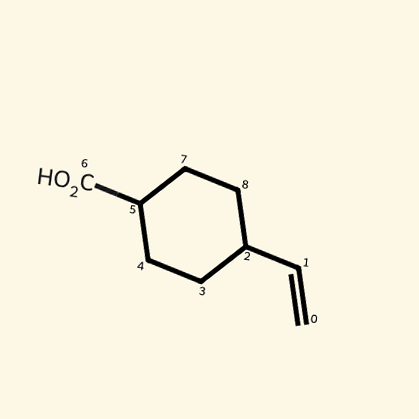 C=CC1CCC(C(=O)O)CC1